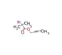 CC#CCOC(=O)C(C)(C)Br